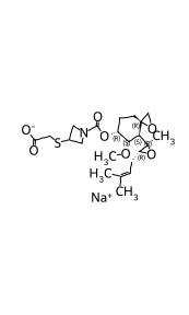 CO[C@@H]1[C@H](OC(=O)N2CC(SCC(=O)[O-])C2)CC[C@]2(CO2)[C@H]1[C@@]1(C)O[C@@H]1CC=C(C)C.[Na+]